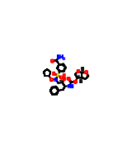 NC(=O)c1cccc(S(=O)(=O)N(C[C@@H](O)C(Cc2ccccc2)NC(=O)O[C@H]2CO[C@H]3OCC[C@H]32)OC2CCCC2)c1